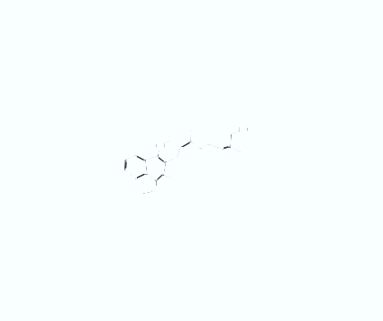 COc1c(C)c(CC=C(C)CCC=C(C)CO)c(OC)c2ccccc12